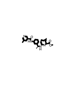 COC(=O)C1=N/C(N[C@@H](C)c2cccc(NC(=O)c3cncc(C)c3)c2)=C\C=C\C=C\1